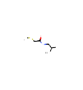 CSCC(=O)NCC(C)C